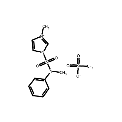 CN(c1ccccc1)S(=O)(=O)n1cc[n+](C)c1.O=S(=O)([O-])C(F)(F)F